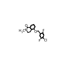 CN1CCc2c(OCc3cc(F)c(Cl)cc3F)cccc2C1=O